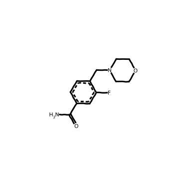 NC(=O)c1ccc(CN2CCOCC2)c(F)c1